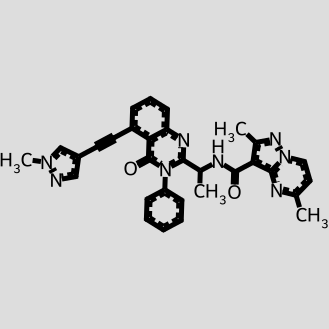 Cc1ccn2nc(C)c(C(=O)NC(C)c3nc4cccc(C#Cc5cnn(C)c5)c4c(=O)n3-c3ccccc3)c2n1